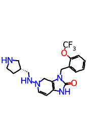 O=c1[nH]c2c(n1Cc1ccccc1OC(F)(F)F)CN(NC[C@@H]1CCNC1)C=C2